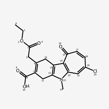 CCOC(=O)CC1=C(C(=O)O)Cc2c(c3c(=O)ccc(Cl)cc3n2C)C1